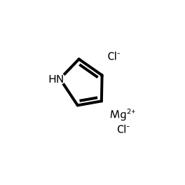 [Cl-].[Cl-].[Mg+2].c1cc[nH]c1